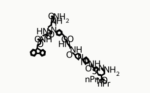 CCCN(CCC)C(=O)C1=Cc2sc(C(=O)Nc3ccc(N4CCC(C(=O)NCCNC(=O)OCc5ccc(NC(=O)[C@H](CCCNC(N)=O)NC(=O)CNC(=O)OCC6c7ccccc7-c7ccccc76)cc5)CC4)nc3)cc2N=C(N)C1